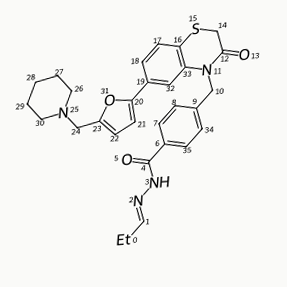 CCC=NNC(=O)c1ccc(CN2C(=O)CSc3ccc(-c4ccc(CN5CCCCC5)o4)cc32)cc1